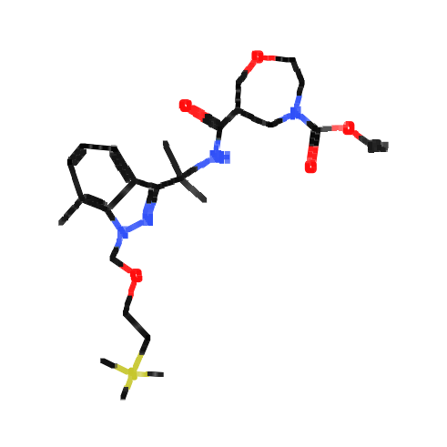 Cc1cccc2c(C(C)(C)NC(=O)C3COCCN(C(=O)OC(C)(C)C)C3)nn(COCCS(C)(C)C)c12